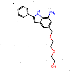 Nc1cc(COCCOCCO)cc2cc(-c3ccccc3)[nH]c12